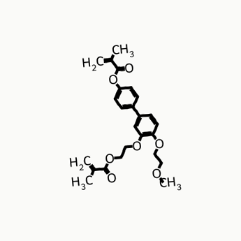 C=C(C)C(=O)OCCOc1cc(-c2ccc(OC(=O)C(=C)C)cc2)ccc1OCCOC